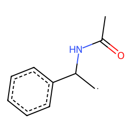 [CH2]C(NC(C)=O)c1ccccc1